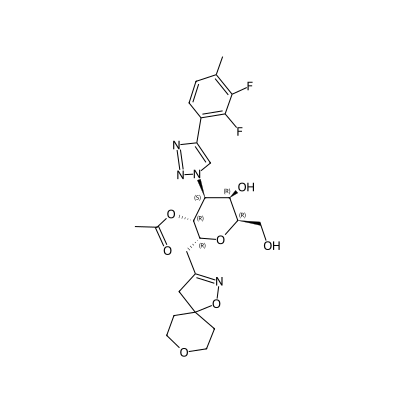 CC(=O)O[C@@H]1[C@@H](n2cc(-c3ccc(C)c(F)c3F)nn2)[C@@H](O)[C@@H](CO)O[C@@H]1CC1=NOC2(CCOCC2)C1